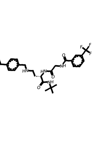 CCc1ccc(CNCC[C@H](NC(=O)CNC(=O)c2cccc(C(F)(F)F)c2)C(=O)NC(C)(C)C)cc1